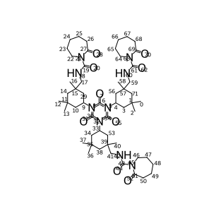 CC1(C)CC(n2c(=O)n(C3CC(C)(C)CC(C)(CNC(=O)N4CCCCCC4=O)C3)c(=O)n(C3CC(C)(C)CC(C)(CNC(=O)N4CCCCCC4=O)C3)c2=O)CC(C)(CNC(=O)N2CCCCCC2=O)C1